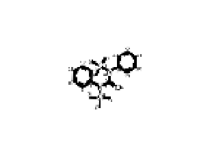 C[Si](C)(C)N(C(=O)N(c1ccccc1)[Si](C)(C)C)c1ccccc1